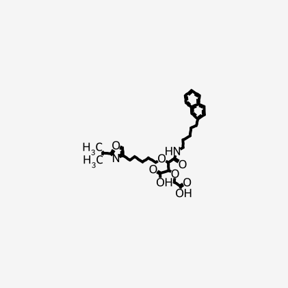 CC(C)c1nc(CCCCCOC(C(=O)NCCCCCc2ccc3ccccc3c2)C(OCC(=O)O)C(=O)O)co1